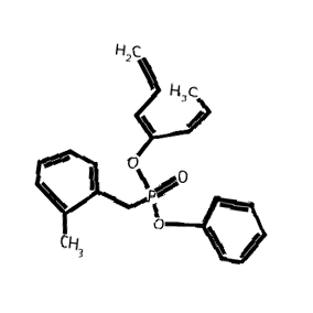 C=C/C=C(\C=C/C)OP(=O)(Cc1ccccc1C)Oc1ccccc1